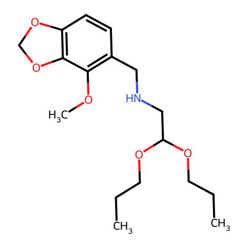 CCCOC(CNCc1ccc2c(c1OC)OCO2)OCCC